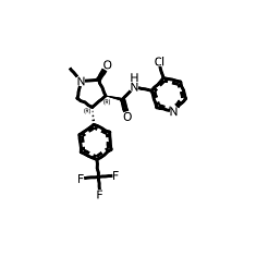 CN1C[C@@H](c2ccc(C(F)(F)F)cc2)[C@H](C(=O)Nc2cnccc2Cl)C1=O